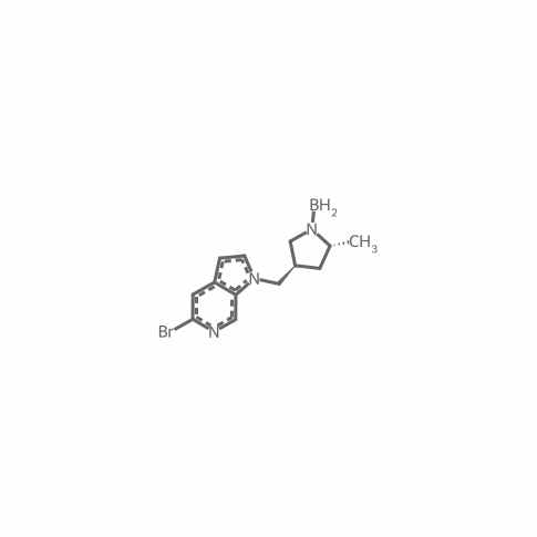 BN1C[C@H](Cn2ccc3cc(Br)ncc32)C[C@H]1C